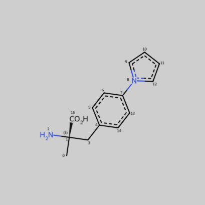 C[C@](N)(Cc1ccc(-n2cccc2)cc1)C(=O)O